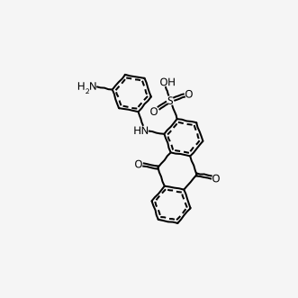 Nc1cccc(Nc2c(S(=O)(=O)O)ccc3c2C(=O)c2ccccc2C3=O)c1